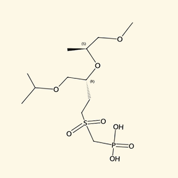 COC[C@H](C)O[C@H](CCS(=O)(=O)CP(=O)(O)O)COC(C)C